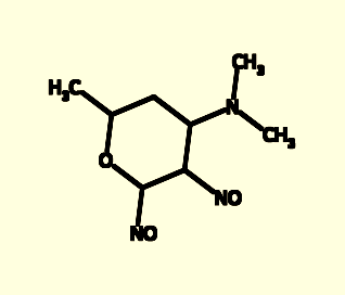 CC1CC(N(C)C)C(N=O)C(N=O)O1